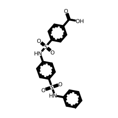 O=C(O)c1ccc(S(=O)(=O)Nc2ccc(S(=O)(=O)Nc3c[c]ccc3)cc2)cc1